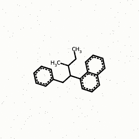 CCC(C)C(Cc1ccccc1)c1cccc2ccccc12